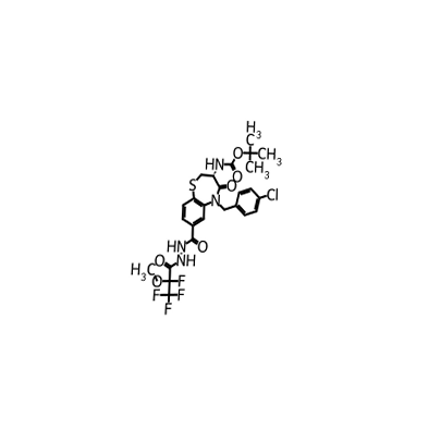 COC(F)(C(=O)NNC(=O)c1ccc2c(c1)N(Cc1ccc(Cl)cc1)C(=O)[C@@H](NC(=O)OC(C)(C)C)CS2)C(F)(F)F